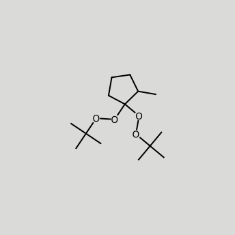 CC1CCCC1(OOC(C)(C)C)OOC(C)(C)C